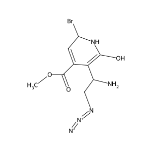 COC(=O)C1=CC(Br)NC(O)=C1C(N)CN=[N+]=[N-]